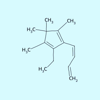 C=C/C=C\C1=C(C)C(C)(C)C(C)=C1CC